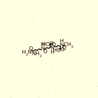 CC(=O)NC(CCC(=O)NC(CCC(=O)NCCCCC(N)C(N)=O)C(=O)O)C(=O)O